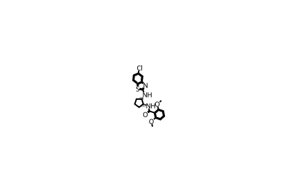 COc1cccc(OC)c1C(=O)N[C@H]1CCC[C@@H]1Nc1nc2cc(Cl)ccc2s1